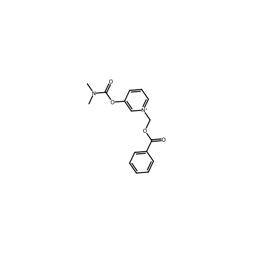 CN(C)C(=O)Oc1ccc[n+](COC(=O)c2ccccc2)c1